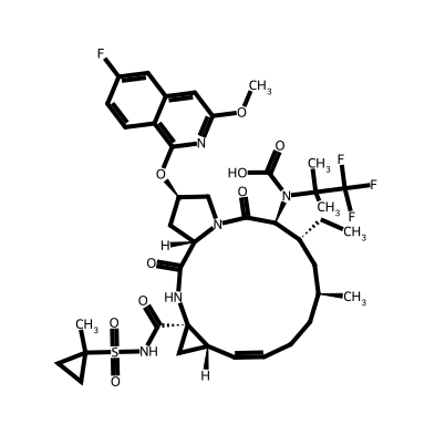 CC[C@@H]1C[C@@H](C)CCC=C[C@@H]2C[C@@]2(C(=O)NS(=O)(=O)C2(C)CC2)NC(=O)[C@@H]2C[C@@H](Oc3nc(OC)cc4cc(F)ccc34)CN2C(=O)[C@H]1N(C(=O)O)C(C)(C)C(F)(F)F